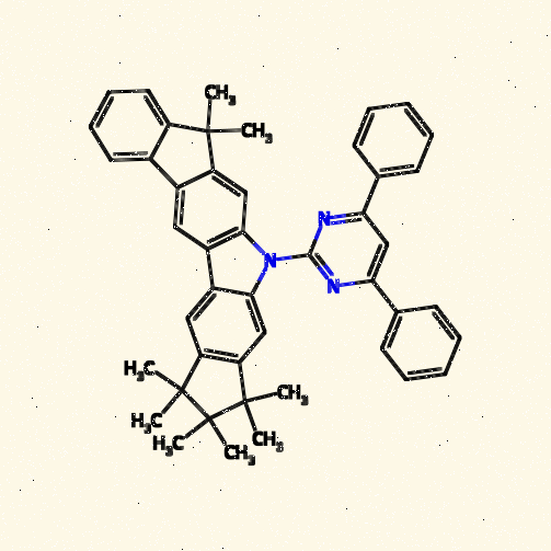 CC1(C)c2ccccc2-c2cc3c4cc5c(cc4n(-c4nc(-c6ccccc6)cc(-c6ccccc6)n4)c3cc21)C(C)(C)C(C)(C)C5(C)C